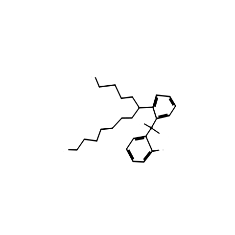 CCCCCCCCC(CCCCC)c1ccccc1C(C)(C)c1ccccc1O